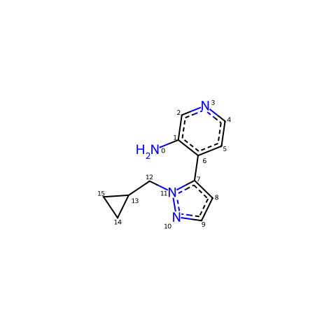 Nc1cnccc1-c1ccnn1CC1CC1